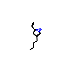 C=Cc1cc(CCCC)c[nH]1